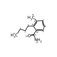 CCCCc1c(C)cccc1C(N)=O